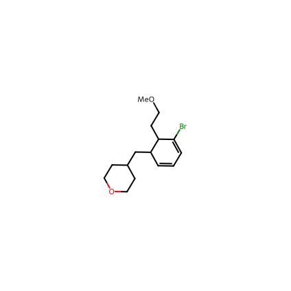 COCCC1C(Br)=CC=CC1CC1CCOCC1